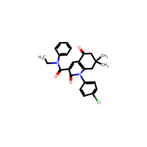 CCN(C(=O)c1cc2c(n(-c3ccc(Cl)cc3)c1=O)CC(C)(C)CC2=O)c1ccccc1